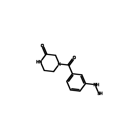 O=C1CN(C(=O)c2cccc(NS)c2)CCN1